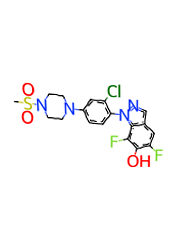 CS(=O)(=O)N1CCN(c2ccc(-n3ncc4cc(F)c(O)c(F)c43)c(Cl)c2)CC1